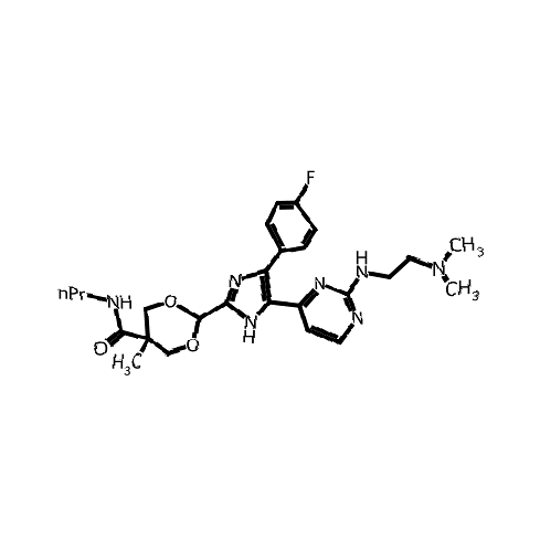 CCCNC(=O)C1(C)COC(c2nc(-c3ccc(F)cc3)c(-c3ccnc(NCCN(C)C)n3)[nH]2)OC1